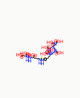 O=C(O)CCC(NC(=O)NCCC(CCCCNC(=S)Nc1ccc(CCCC(CN2CCN(CC(=O)O)CCN(CCN(CC(=O)O)CC(=O)O)CCN(CC(=O)O)CC2)N(CC(=O)O)CC(=O)O)cc1)C(=O)O)C(=O)O